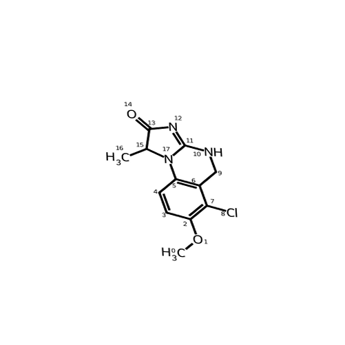 COc1ccc2c(c1Cl)CNC1=NC(=O)C(C)N12